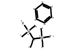 CC([Si](C)(C)F)[Si](C)(C)F.c1ccccc1